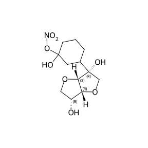 O=[N+]([O-])OC1(O)CCCC([C@@]2(O)CO[C@@H]3[C@H](O)CO[C@@H]32)C1